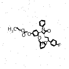 C=CCOC(=O)COc1ccc([C@@H]2[C@@H](CC[C@H](O)c3ccc(F)cc3)C(=O)N2c2ccccc2)c(OCc2ccccc2)c1